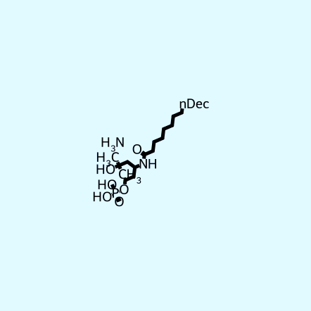 CCCCCCCCCCCCCCCCCC(=O)NC(CCOP(=O)(O)O)CC(C)(C)O.N